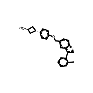 Cc1ccccc1-c1csc2ccc(COc3ccc([C@H]4C[C@H](O)C4)cc3)cc12